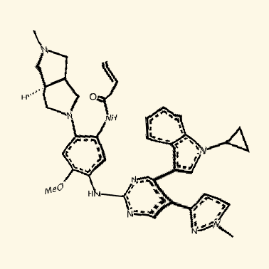 C=CC(=O)Nc1cc(Nc2ncc(-c3ccn(C)n3)c(-c3cn(C4CC4)c4ccccc34)n2)c(OC)cc1N1CC2CN(C)C[C@@H]2C1